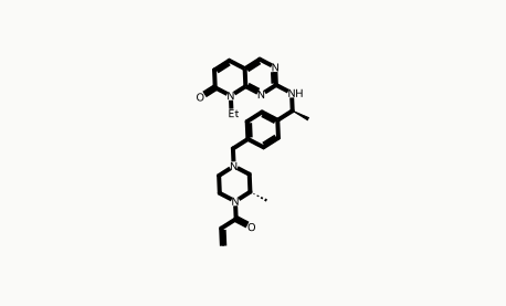 C=CC(=O)N1CCN(Cc2ccc([C@H](C)Nc3ncc4ccc(=O)n(CC)c4n3)cc2)C[C@@H]1C